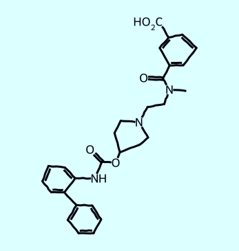 CN(CCN1CCC(OC(=O)Nc2ccccc2-c2ccccc2)CC1)C(=O)c1cccc(C(=O)O)c1